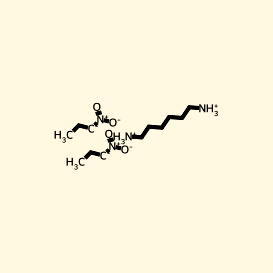 CC[CH-][N+](=O)[O-].CC[CH-][N+](=O)[O-].[NH3+]CCCCCC[NH3+]